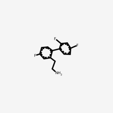 NCCc1cc(F)ccc1-c1ccc(F)cc1F